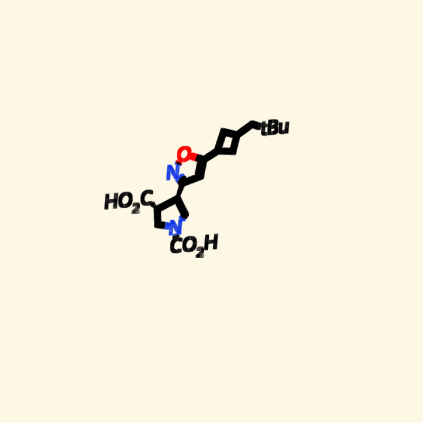 CC(C)(C)CC1CC(c2cc([C@H]3CN(C(=O)O)C[C@@H]3C(=O)O)no2)C1